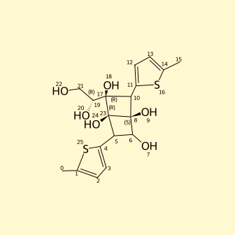 Cc1ccc(C2C(O)[C@@]3(O)C(c4ccc(C)s4)[C@@](O)([C@H](O)CO)[C@@]23O)s1